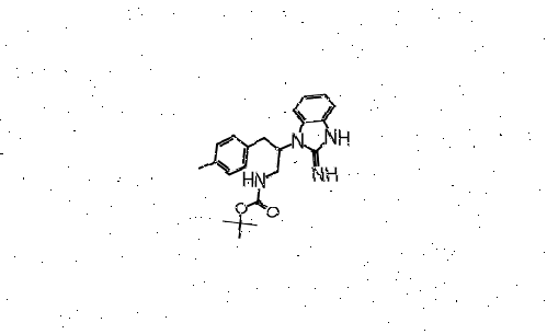 Cc1ccc(CC(CNC(=O)OC(C)(C)C)n2c(=N)[nH]c3ccccc32)cc1